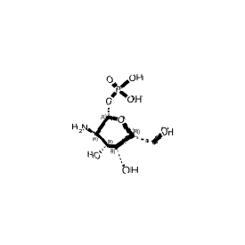 N[C@H]1[C@H](OP(=O)(O)O)O[C@H](CO)[C@H](O)[C@@H]1O